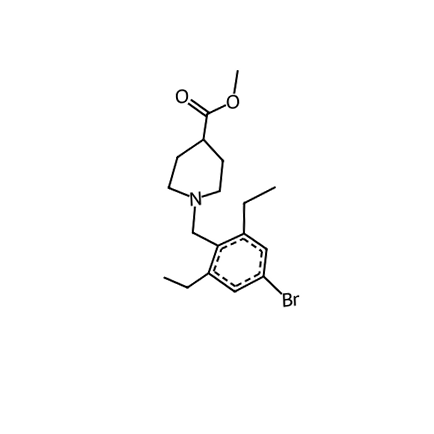 CCc1cc(Br)cc(CC)c1CN1CCC(C(=O)OC)CC1